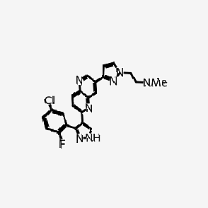 CNCCn1ccc(-c2cnc3ccc(-c4c[nH]nc4-c4cc(Cl)ccc4F)nc3c2)n1